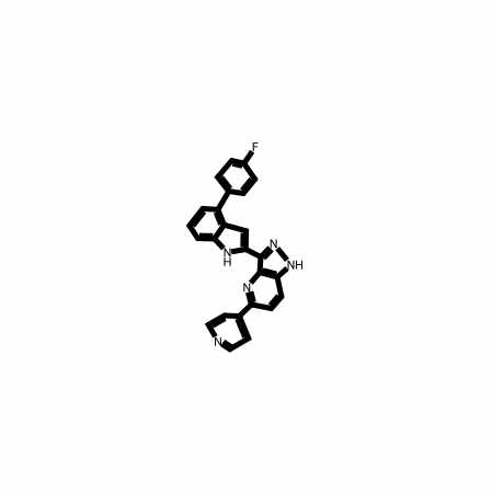 Fc1ccc(-c2cccc3[nH]c(-c4n[nH]c5ccc(-c6ccncc6)nc45)cc23)cc1